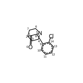 O=C1C2CCN(CC2)C1c1ccccc1Cl